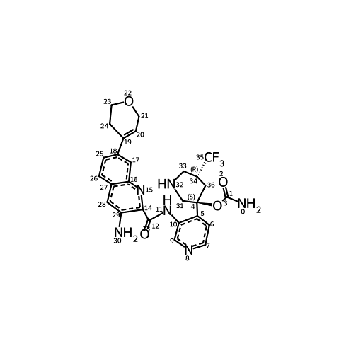 NC(=O)O[C@@]1(c2ccncc2NC(=O)c2nc3cc(C4=CCOCC4)ccc3cc2N)CNC[C@H](C(F)(F)F)C1